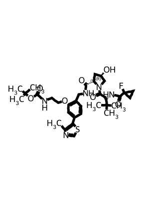 Cc1ncsc1-c1ccc(CNC(=O)[C@@H]2C[C@@H](O)CN2C(=O)[C@@H](NC(=O)C2(F)CC2)C(C)(C)C)c(OCCNC(=O)OC(C)(C)C)c1